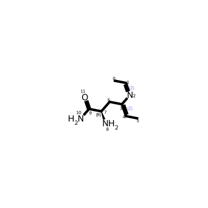 C/C=N\C(=C/C)C[C@@H](N)C(N)=O